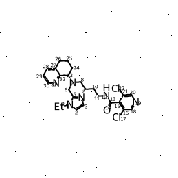 CCn1ccnc1CN(CCCCNC(=O)c1c(Cl)cncc1Cl)[C@H]1CCCc2cccnc21